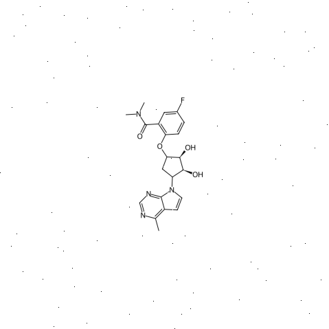 Cc1ncnc2c1ccn2C1CC(Oc2ccc(F)cc2C(=O)N(C)C)[C@@H](O)[C@H]1O